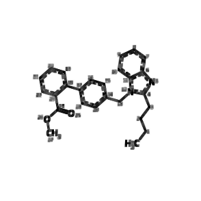 CCCCc1nc2ccccc2n1Cc1ccc(-c2ccccc2C(=O)OC)cc1